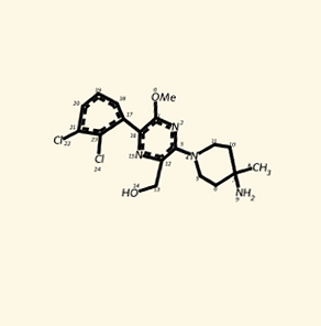 COc1nc(N2CCC(C)(N)CC2)c(CO)nc1-c1cccc(Cl)c1Cl